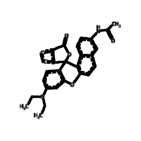 CCN(CC)c1ccc2c(c1)Oc1ccc3cc(NC(C)=O)ccc3c1C21OC(=O)c2ccccc21